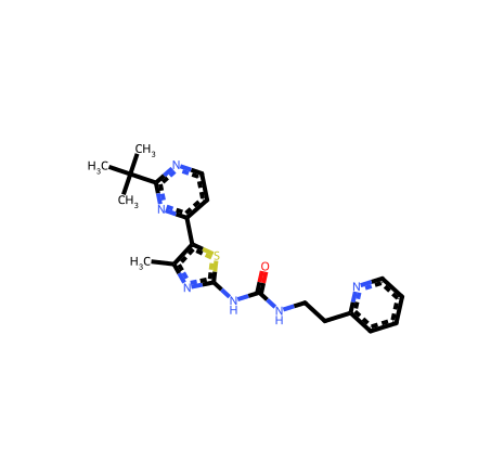 Cc1nc(NC(=O)NCCc2ccccn2)sc1-c1ccnc(C(C)(C)C)n1